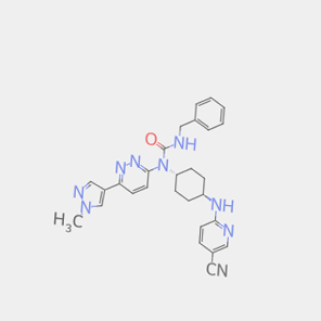 Cn1cc(-c2ccc(N(C(=O)NCc3ccccc3)[C@H]3CC[C@H](Nc4ccc(C#N)cn4)CC3)nn2)cn1